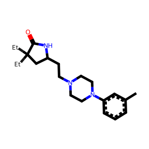 CCC1(CC)CC(CCN2CCN(c3cccc(C)c3)CC2)NC1=O